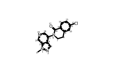 Cn1ncc2c(N3CCc4cc(Cl)ccc4C3=O)cncc21